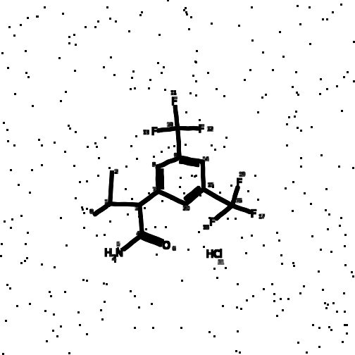 CC(C)C(C(N)=O)c1cc(C(F)(F)F)cc(C(F)(F)F)c1.Cl